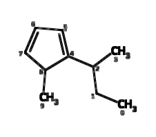 CCC(C)C1=[C]C=CC1C